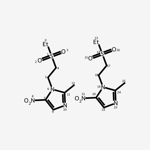 CCS(=O)(=O)CCn1c([N+](=O)[O-])cnc1C.CCS(=O)(=O)CCn1c([N+](=O)[O-])cnc1C